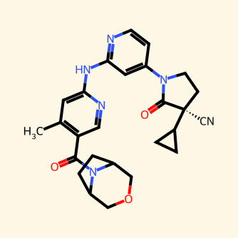 Cc1cc(Nc2cc(N3CC[C@@](C#N)(C4CC4)C3=O)ccn2)ncc1C(=O)N1C2CCC1COC2